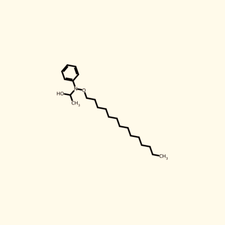 CCCCCCCCCCCCCCON([C](C)O)c1ccccc1